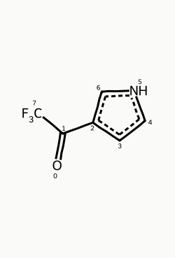 O=C(c1cc[nH]c1)C(F)(F)F